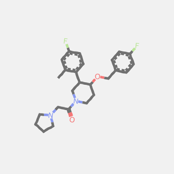 Cc1cc(F)ccc1C1CN(C(=O)CN2CCCC2)CCC1OCc1ccc(F)cc1